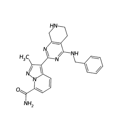 Cc1nn2c(C(N)=O)cccc2c1-c1nc2c(c(NCc3ccccc3)n1)CCNC2